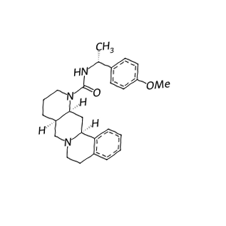 COc1ccc([C@@H](C)NC(=O)N2CCC[C@@H]3CN4CCc5ccccc5[C@@H]4C[C@@H]32)cc1